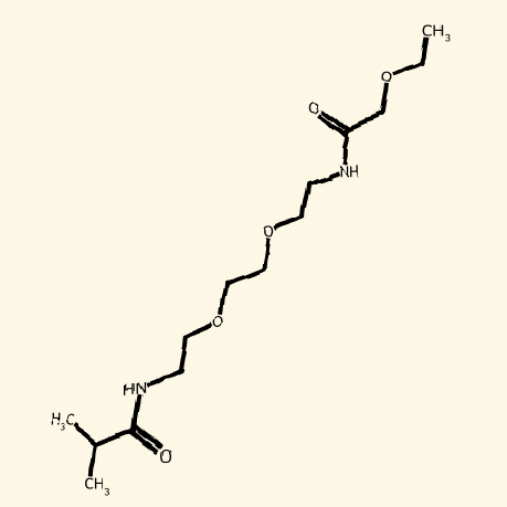 CCOCC(=O)NCCOCCOCCNC(=O)C(C)C